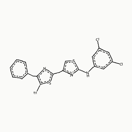 CCc1sc(-c2csc(Nc3cc(Cl)cc(Cl)c3)n2)nc1-c1ccccc1